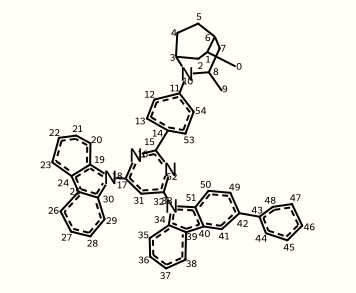 CC1CC2CCC1CC(C)N2c1ccc(-c2nc(-n3c4ccccc4c4ccccc43)cc(-n3c4ccccc4c4cc(-c5ccccc5)ccc43)n2)cc1